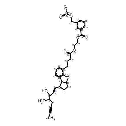 CC#CCC(C)C(O)/C=C/C1CCC2Oc3c(CCCC(=O)OCCOC(=O)c4cccc(CO[N+](=O)[O-])c4)cccc3C12